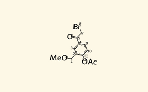 COCc1cc(C(=O)CBr)ccc1OC(C)=O